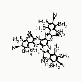 Bc1c(B)c(-c2nc3c(nc2C#N)c2nc(-c4c(B)c(B)c(C#N)c(B)c4B)c(C#N)nc2c2nc(-c4c(B)c(B)c(C#N)c(B)c4B)c(C#N)nc32)c(B)c(B)c1C#N